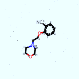 N#Cc1ccccc1OCCN1CCOCC1